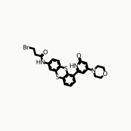 O=C(CCBr)Nc1ccc2c(c1)Sc1cccc(-c3cc(N4CCOCC4)cc(=O)[nH]3)c1S2